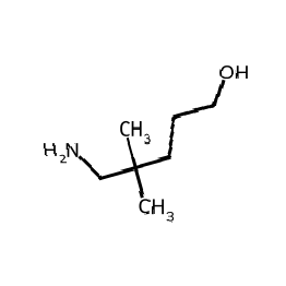 CC(C)(CN)CCCO